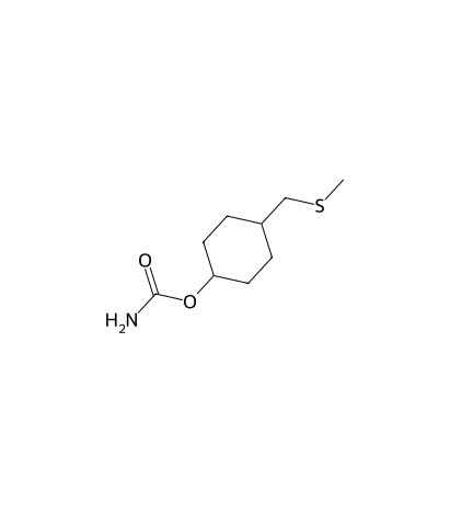 CSCC1CCC(OC(N)=O)CC1